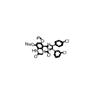 COc1cc(OC(C)C)c2c3c1NC(=O)CN3C(=O)N1C2=N[C@@H](c2ccc(Cl)cc2)[C@H]1c1cccc(Cl)c1